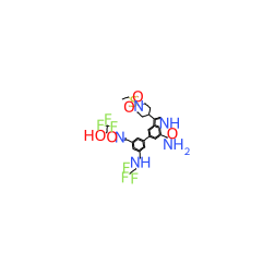 CCS(=O)(=O)N1CCC(c2c[nH]c3c(C(N)=O)cc(-c4cc(C#N)cc(CNCC(F)(F)F)c4)cc23)CC1.O=C(O)C(F)(F)F